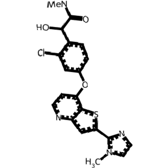 CNC(=O)C(O)c1ccc(Oc2ccnc3cc(-c4nccn4C)sc23)cc1Cl